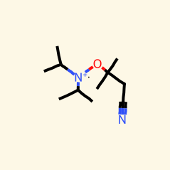 CC(C)[N+](OC(C)(C)CC#N)C(C)C